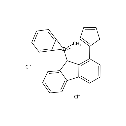 [CH3][Zr+2]1([CH]2c3ccccc3-c3cccc(C4=CC=CC4)c32)[c]2cccc[c]21.[Cl-].[Cl-]